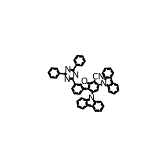 N#Cc1c(-n2c3ccccc3c3ccccc32)cc(-n2c3ccccc3c3ccccc32)c2c1oc1c(-c3nc(-c4ccccc4)nc(-c4ccccc4)n3)cccc12